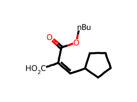 CCCCOC(=O)C(=CC1CCCC1)C(=O)O